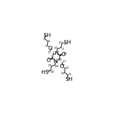 O=C1[C@H](COCCCS)N(CCCS)C(=O)[C@H](COCCCS)N1CCCS